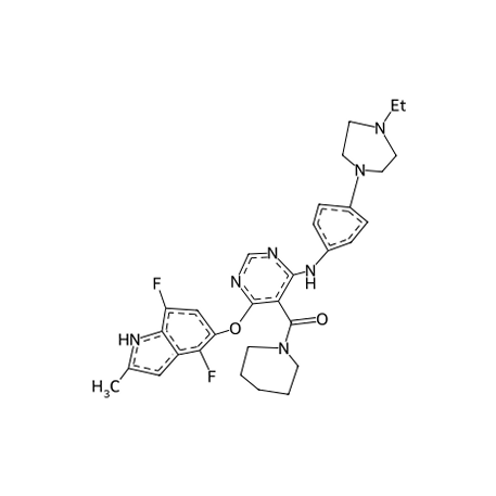 CCN1CCN(c2ccc(Nc3ncnc(Oc4cc(F)c5[nH]c(C)cc5c4F)c3C(=O)N3CCCCC3)cc2)CC1